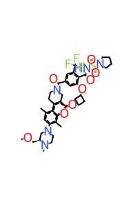 COC[C@H]1CN(c2cc(C)c3c4c(c(=O)oc3c2C)CN(C(=O)c2cc(OC3CCC3)c(C(=O)NS(=O)(=O)N3CCCC3)c(C(F)(F)F)c2)CC4)CCN1C